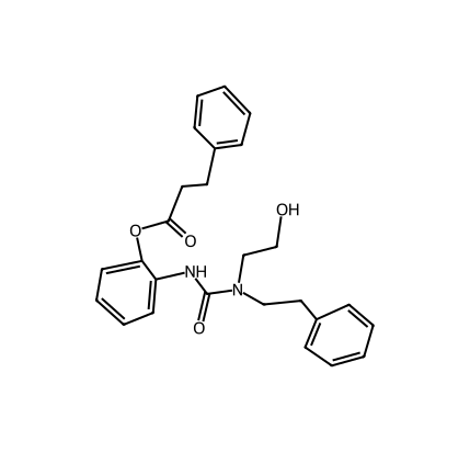 O=C(CCc1ccccc1)Oc1ccccc1NC(=O)N(CCO)CCc1ccccc1